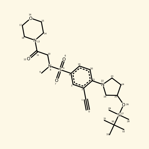 C#Cc1cc(S(=O)(=O)N(C)CC(=O)N2CCOCC2)ccc1N1CCC(O[Si](C)(C)C(C)(C)C)C1